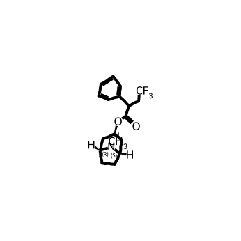 CN1[C@@H]2CC[C@H]1C[C@H](OC(=O)C(CC(F)(F)F)c1ccccc1)C2